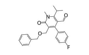 CC(C)c1c(C=O)c(-c2ccc(F)cc2)c(COCc2ccccc2)c(=O)n1C